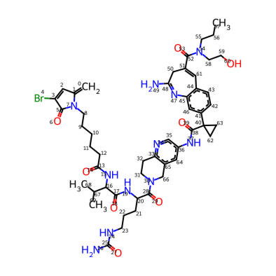 C=C1C=C(Br)C(=O)N1CCCCCC(=O)NC(C(=O)NC(CCCNC(N)=O)C(=O)N1CCc2ncc(NC(=O)C3(c4ccc5c(c4)N=C(N)CC(C(=O)N(CCC)CCO)=C5)CC3)cc2C1)C(C)C